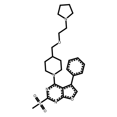 CS(=O)(=O)c1nc(N2CCC(COCCN3CCCC3)CC2)c2c(-c3ccccc3)coc2n1